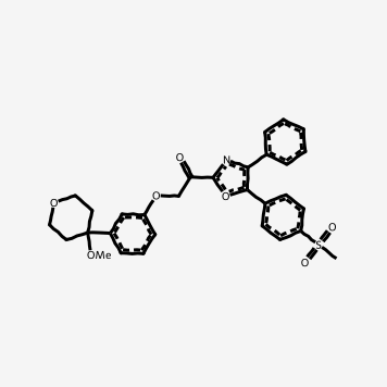 COC1(c2cccc(OCC(=O)c3nc(-c4ccccc4)c(-c4ccc(S(C)(=O)=O)cc4)o3)c2)CCOCC1